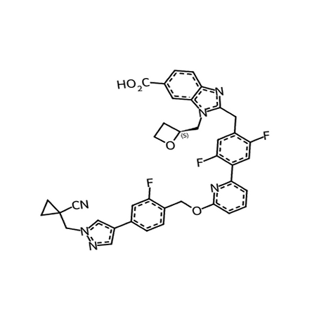 N#CC1(Cn2cc(-c3ccc(COc4cccc(-c5cc(F)c(Cc6nc7ccc(C(=O)O)cc7n6C[C@@H]6CCO6)cc5F)n4)c(F)c3)cn2)CC1